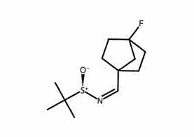 CC(C)(C)[S@@+]([O-])/N=C\C12CCC(F)(CC1)C2